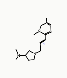 CC1=CC=C(/C=C/CN2CCC(N(C)C)C2)N(C)C1